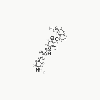 Cc1ccc2cccc(OCc3c(Cl)ccc(OCNC(=O)C=Cc4ccc(N)cc4)c3Cl)c2n1